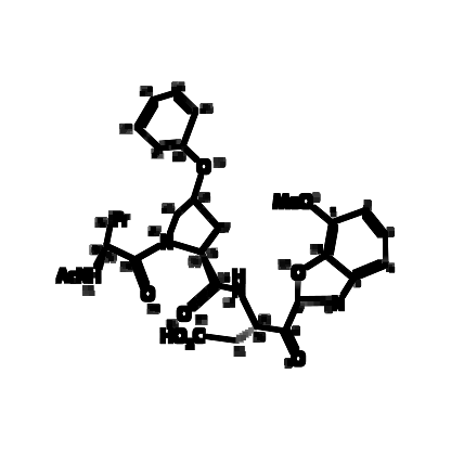 COc1cccc2nc(C(=O)[C@H](CC(=O)O)NC(=O)[C@@H]3CC(Oc4ccccc4)CN3C(=O)[C@@H](NC(C)=O)C(C)C)oc12